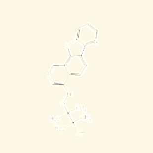 CC(C)(O)C(C)(C)OBc1cccc2c1ccc1c3ncccc3sc21